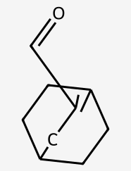 O=CC1=C2CCC(CC2)C1